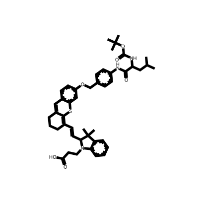 CC(C)CC(NC(=O)OC(C)(C)C)C(=O)Nc1ccc(COc2ccc3c(c2)SC2=C(C=CC4N(CCC(=O)O)c5ccccc5C4(C)C)CCCC2=C3)cc1